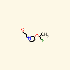 CC(CF)OC1CCCN(CCC[O])C1